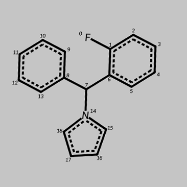 Fc1ccccc1C(c1ccccc1)n1cccc1